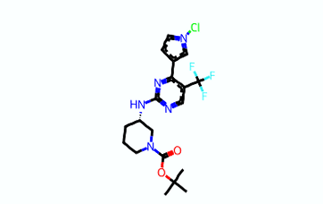 CC(C)(C)OC(=O)N1CCC[C@H](Nc2ncc(C(F)(F)F)c(-c3ccn(Cl)c3)n2)C1